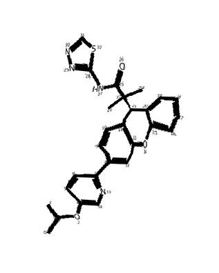 CC(C)Oc1ccc(-c2ccc3c(c2)Oc2ccccc2[C@@H]3C(C)(C)C(=O)Nc2nncs2)nc1